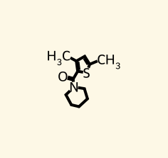 Cc1cc(C)c(C(=O)N2CCCCC2)s1